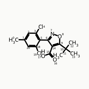 Cc1cc(Cl)c(-c2noc(C(C)(C)C)c2C(=O)O)c(Cl)c1